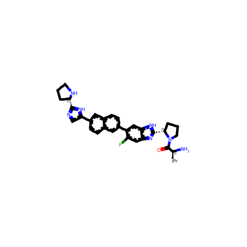 CC(C)[C@H](N)C(=O)N1CCC[C@H]1c1nc2cc(F)c(-c3ccc4cc(-c5cnc([C@@H]6CCCN6)[nH]5)ccc4c3)cc2[nH]1